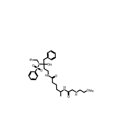 COCCNCC(=O)NC(C)CCCC(=O)NCCC(O)(Cc1ccccc1)N(CC(C)C)S(=O)(=O)c1ccccc1